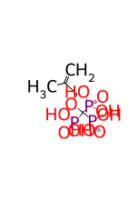 C=C(C)COC(P(=O)(O)O)(P(=O)(O)O)P(=O)(O)O